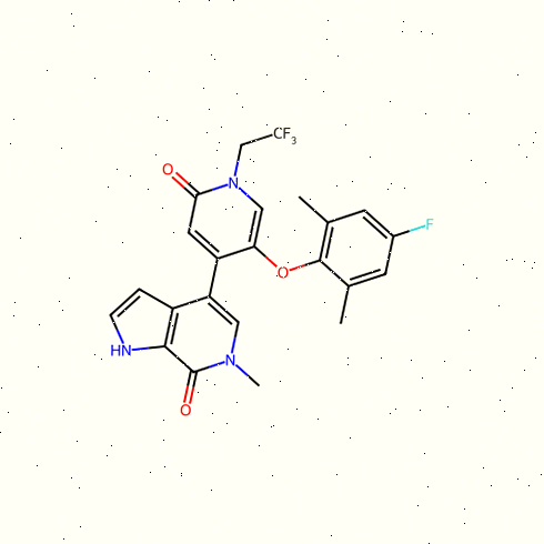 Cc1cc(F)cc(C)c1Oc1cn(CC(F)(F)F)c(=O)cc1-c1cn(C)c(=O)c2[nH]ccc12